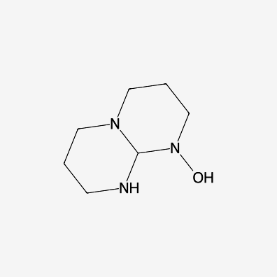 ON1CCCN2CCCNC12